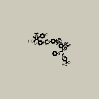 Cc1c(C(=O)O)c(-c2cccc(N3CCN(c4ccc(N5CCO[P@@]5(=O)c5ccc(N[C@H](CCN6CCC(C(=O)O)CC6)CSc6ccccc6)c(S(=O)(=O)C(F)(F)F)c5)cc4)CC3)c2)c(-c2ccc(Cl)cc2)n1C(C)C